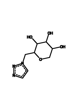 OC1COC(Cn2ccnn2)C(O)C1O